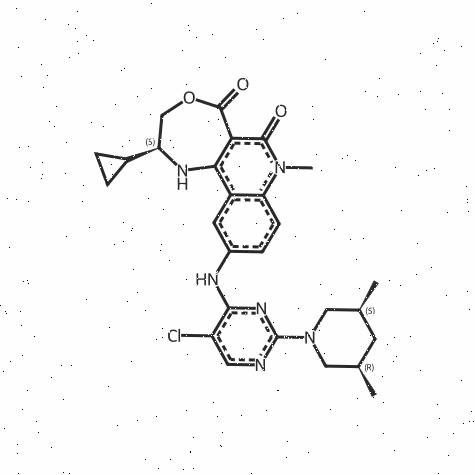 C[C@@H]1C[C@H](C)CN(c2ncc(Cl)c(Nc3ccc4c(c3)c3c(c(=O)n4C)C(=O)OC[C@H](C4CC4)N3)n2)C1